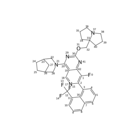 Fc1c(-c2cccc3cccc(C(F)(F)F)c23)ncc2c(N3CC4CCC(C4)C3)nc(OCC34CCCN3CCC4)nc12